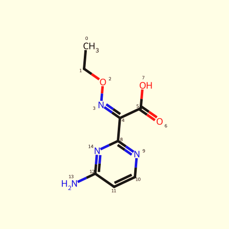 CCON=C(C(=O)O)c1nccc(N)n1